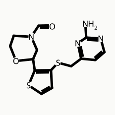 Nc1nccc(CSc2ccsc2C2CN(C=O)CCO2)n1